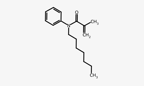 C=C(C)C(=O)N(CCCCCCC)c1ccccc1